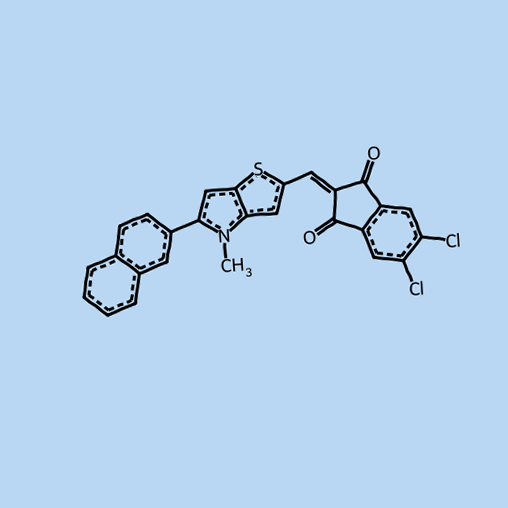 Cn1c(-c2ccc3ccccc3c2)cc2sc(C=C3C(=O)c4cc(Cl)c(Cl)cc4C3=O)cc21